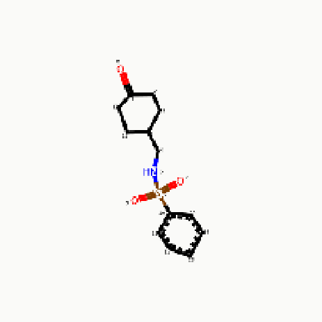 O=C1CCC(CNS(=O)(=O)c2ccccc2)CC1